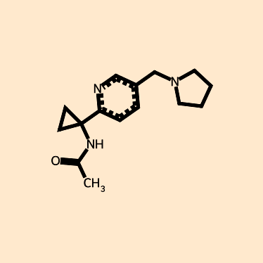 CC(=O)NC1(c2ccc(CN3CCCC3)cn2)CC1